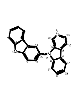 c1ccc2c(c1)oc1ccc(-n3c4ccccc4c4ccncc43)cc12